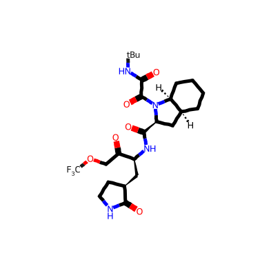 CC(C)(C)NC(=O)C(=O)N1[C@H](C(=O)N[C@@H](C[C@@H]2CCNC2=O)C(=O)COC(F)(F)F)C[C@@H]2CCCC[C@@H]21